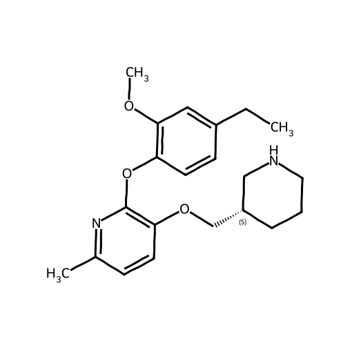 CCc1ccc(Oc2nc(C)ccc2OC[C@H]2CCCNC2)c(OC)c1